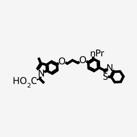 CCCc1cc(-c2nc3c(s2)CCCC3)ccc1OCCCOc1ccc2c(c1)c(C)cn2[C@@H](C)C(=O)O